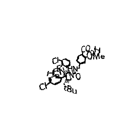 COc1cc(CNC(=O)N2C[C@H](CC(C)(C)C)[C@@](N)(c3ccc(Cl)cc3F)[C@@H]2c2cccc(Cl)c2F)ccc1C(=O)O